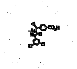 CC1(C)N=C(c2cc(Cl)cc(Cl)c2)C(=O)N1C(c1ccc(C(=O)O)cc1)C1CC1